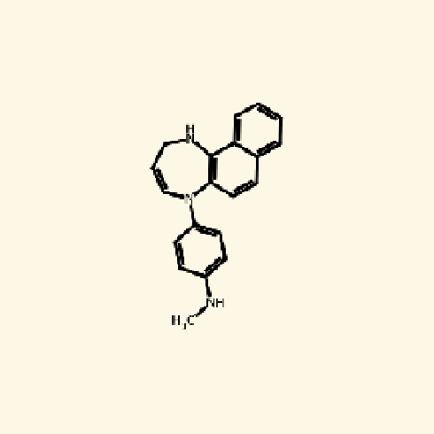 CNc1ccc(N2C=CCNc3c2ccc2ccccc32)cc1